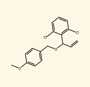 C=CC(OCc1ccc(OC)cc1)c1c(Cl)cccc1Cl